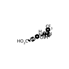 CC(C)n1cnc(-c2ccc(C(F)(F)F)cc2)c1-c1nc(C(=O)Nc2ccc(N3CCN(CCC(=O)O)CC3)cc2)c[nH]1